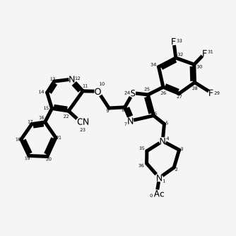 CC(=O)N1CCN(Cc2nc(COc3nccc(-c4ccccc4)c3C#N)sc2-c2cc(F)c(F)c(F)c2)CC1